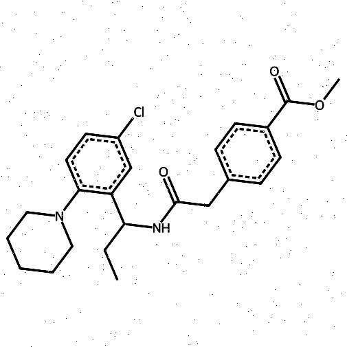 CCC(NC(=O)Cc1ccc(C(=O)OC)cc1)c1cc(Cl)ccc1N1CCCCC1